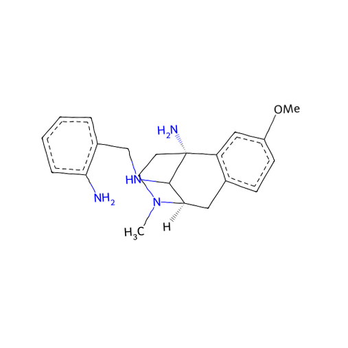 COc1ccc2c(c1)[C@]1(N)CCN(C)[C@H](C2)C1NCc1ccccc1N